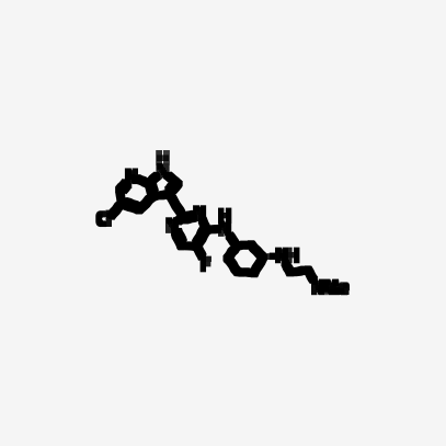 CNCCN[C@@H]1CCCC(Nc2nc(-c3c[nH]c4ncc(Cl)cc34)ncc2F)C1